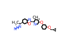 Cc1cc(Oc2cccc(OCC3CC3)c2)cnc1-c1nc2ccc(C(C)N=[N+]=[N-])cc2o1